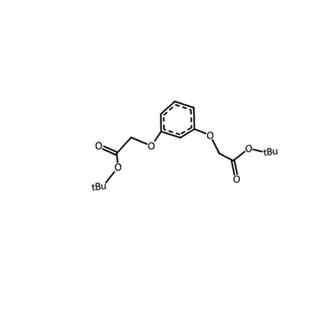 CC(C)(C)OC(=O)COc1cccc(OCC(=O)OC(C)(C)C)c1